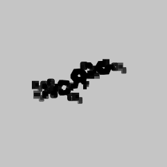 Cc1ccc(N(C=O)Nc2cccc(CN3CCN(S(=O)(=O)N(C)C)C[C@H]3C)c2F)cn1